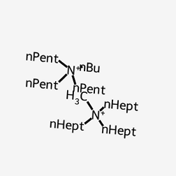 CCCCCCC[N+](C)(CCCCCCC)CCCCCCC.CCCCC[N+](CCCC)(CCCCC)CCCCC